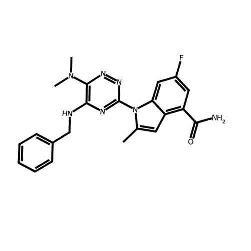 Cc1cc2c(C(N)=O)cc(F)cc2n1-c1nnc(N(C)C)c(NCc2ccccc2)n1